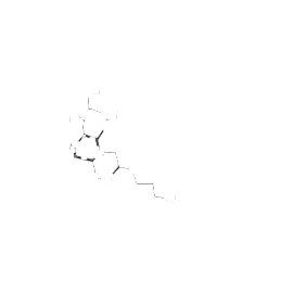 CCCCOC(=O)Cn1c(Br)cnc(NC(C)C)c1=O